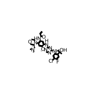 C=CC(=O)Nc1cc(Nc2ncnc(Nc3cc(Cl)c(F)cc3C(C)(C)O)n2)c(OC)cc1N1CCOC[C@@H]1CN(C)C